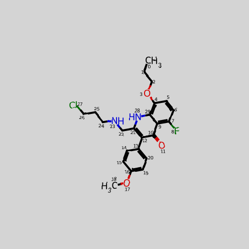 CCCOc1ccc(F)c2c(=O)c(-c3ccc(OC)cc3)c(CNCCCCl)[nH]c12